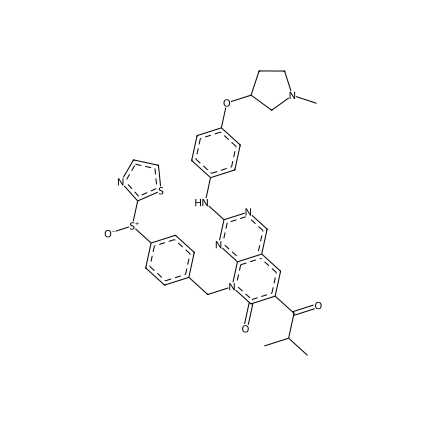 CC(C)C(=O)c1cc2cnc(Nc3ccc(OC4CCN(C)C4)cc3)nc2n(Cc2ccc([S+]([O-])c3nccs3)cc2)c1=O